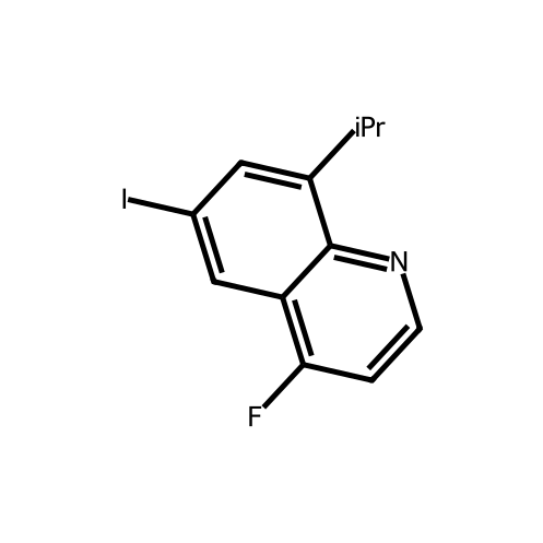 CC(C)c1cc(I)cc2c(F)ccnc12